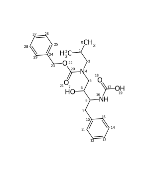 CC(C)CN(CC(O)C(Cc1ccccc1)NC(=O)O)C(=O)OCc1ccccc1